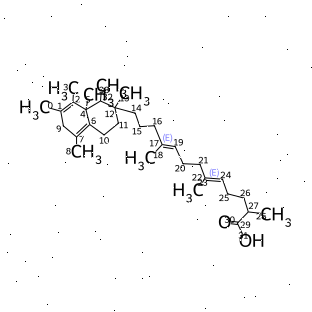 CC1=C(C)C2(C)C(=C(C)C1)CCC(C)(CCC/C(C)=C/CC/C(C)=C/CCC(C)C(=O)O)C2C